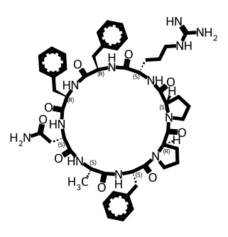 C[C@@H]1NC(=O)[C@H](CC(N)=O)NC(=O)[C@@H](Cc2ccccc2)NC(=O)[C@@H](Cc2ccccc2)NC(=O)[C@H](CCCNC(=N)N)NC(=O)[C@@H]2CCCN2C(=O)[C@H]2CCCN2C(=O)[C@H](Cc2ccccc2)NC1=O